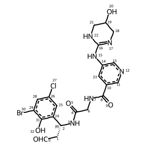 O=CC[C@@H](NC(=O)CNC(=O)c1cncc(NC2=NCC(O)CN2)c1)c1cc(Cl)cc(Br)c1O